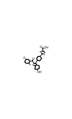 Cc1ccc(F)cc1C(=O)c1sc2cc(O)ccc2c1-c1ccc(-c2nc(C(=O)O)cs2)cc1